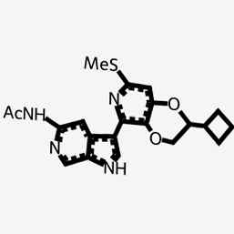 CSc1cc2c(c(-c3c[nH]c4cnc(NC(C)=O)cc34)n1)OCC(C1CCC1)O2